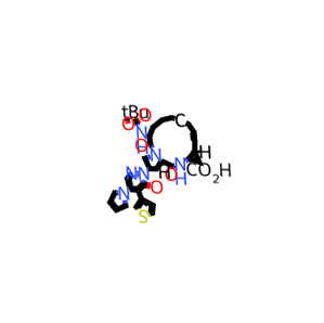 CC(C)(C)OC(=O)N[C@H]1CCCCC/C=C\[C@@H]2C[C@@]2(C(=O)O)NC(=O)[C@@H]2C[C@H](n3ncc(N4CC=CC4)c(-c4ccsc4)c3=O)CN2C1=O